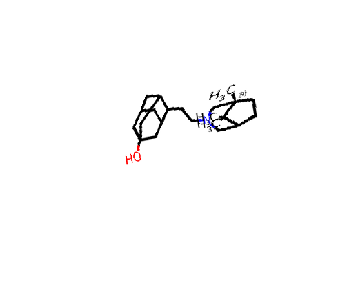 CC1(C)C2CC[C@@]1(C)CN(CCC1C3CC4CC1CC(O)(C4)C3)C2